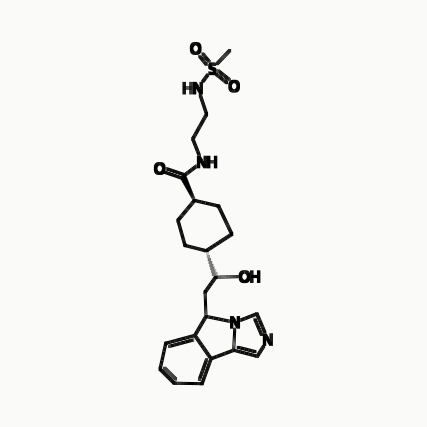 CS(=O)(=O)NCCNC(=O)[C@H]1CC[C@H](C(O)CC2c3ccccc3-c3cncn32)CC1